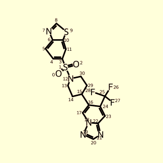 O=S(=O)(c1ccc2ncsc2c1)N1CCC(c2cn3ncnc3cc2C(F)(F)F)CC1